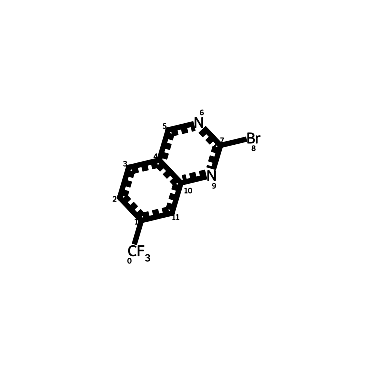 FC(F)(F)c1ccc2cnc(Br)nc2c1